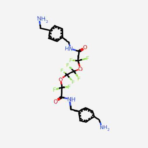 NCc1ccc(CNC(=O)C(F)(F)OC(F)(F)C(F)(F)OC(F)(F)C(=O)NCc2ccc(CN)cc2)cc1